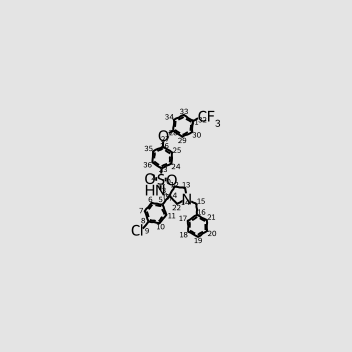 O=S(=O)(N[C@]1(c2ccc(Cl)cc2)CCN(Cc2ccccc2)C1)c1ccc(Oc2ccc(C(F)(F)F)cc2)cc1